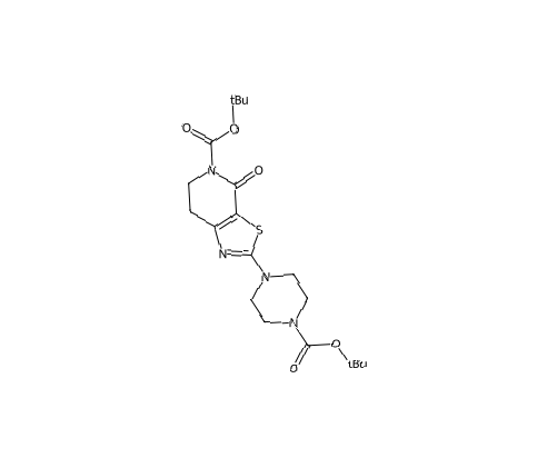 CC(C)(C)OC(=O)N1CCN(c2nc3c(s2)C(=O)N(C(=O)OC(C)(C)C)CC3)CC1